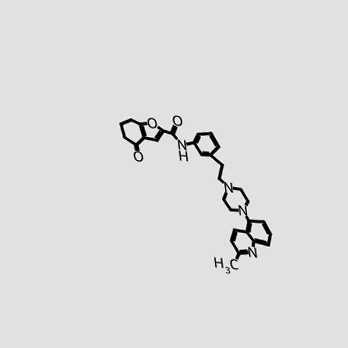 Cc1ccc2c(N3CCN(CCc4cccc(NC(=O)c5cc6c(o5)CCCC6=O)c4)CC3)cccc2n1